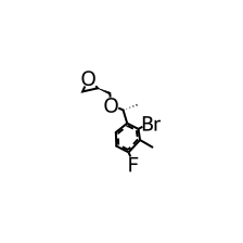 Cc1c(F)ccc([C@@H](C)OC[C@H]2CO2)c1Br